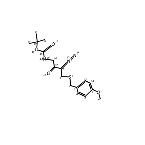 COc1ccc(CSCC(=[N+]=[N-])C(=O)CNC(=O)OC(C)(C)C)cc1